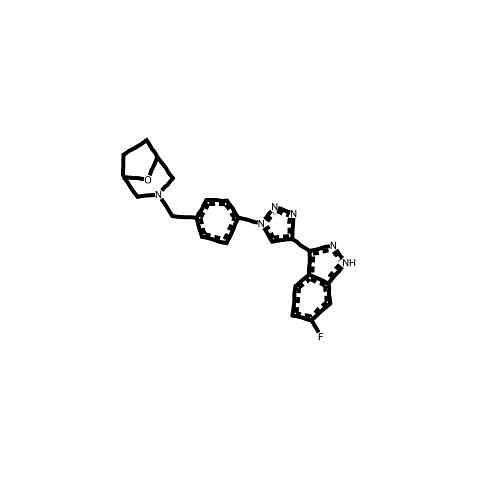 Fc1ccc2c(-c3cn(-c4ccc(CN5CC6CCC(C5)O6)cc4)nn3)n[nH]c2c1